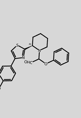 O=CC(Oc1ccccc1)N1CCCC[C@@H]1c1nc(-c2ccc(O)cc2)cs1